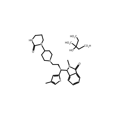 Cc1csc([C@@H](CCN2CCC(N3CCCNC3=O)CC2)[C@@H]2c3ccccc3C(=O)N2C)c1.O=C(O)CC(O)(CC(=O)O)C(=O)O